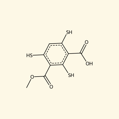 COC(=O)c1c(S)cc(S)c(C(=O)O)c1S